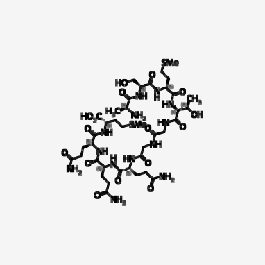 CSCC[C@H](NC(=O)[C@H](CCC(N)=O)NC(=O)[C@H](CCC(N)=O)NC(=O)[C@H](CCC(N)=O)NC(=O)CNC(=O)CNC(=O)[C@@H](NC(=O)[C@H](CCSC)NC(=O)[C@H](CO)NC(=O)[C@H](C)N)[C@@H](C)O)C(=O)O